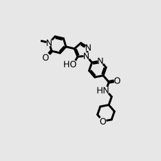 Cn1ccc(-c2cnn(-c3ccc(C(=O)NCC4CCOCC4)cn3)c2O)cc1=O